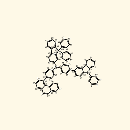 c1ccc(-n2c3ccccc3c3cc(-c4ccc(N(c5ccc(-c6cccc7ccc8ccccc8c67)cc5)c5ccc6c(c5)C(c5ccccc5)(c5ccccc5)c5ccccc5-6)cc4)ccc32)cc1